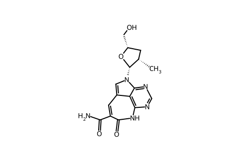 C[C@H]1C[C@@H](CO)O[C@H]1n1cc2c3c(ncnc31)NC(=O)C(C(N)=O)=C2